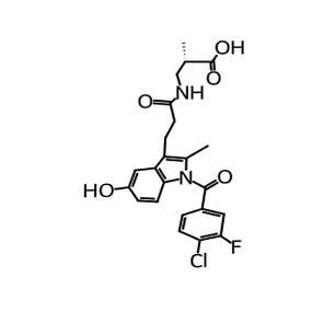 Cc1c(CCC(=O)NC[C@H](C)C(=O)O)c2cc(O)ccc2n1C(=O)c1ccc(Cl)c(F)c1